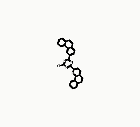 Clc1nc(-c2ccc3ccc4ccccc4c3c2)nc(-c2ccc3ccc4ccccc4c3n2)n1